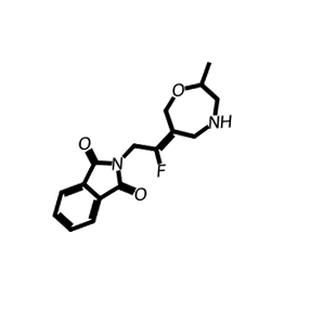 CC1CNC/C(=C(\F)CN2C(=O)c3ccccc3C2=O)CO1